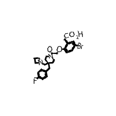 O=C(O)Cc1cc(Br)ccc1OCC(=O)N1CCC(Cc2ccc(F)cc2)(CN2CCC2)CC1